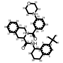 CC(C)(C)c1ccc2c(c1)C(NC(=O)C1Cc3ccccc3CN1C(=O)c1cccc(N3CCOCC3)c1)CCC2